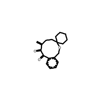 C=C1CCC2(CCCCC2)OCc2ccccc2C(=O)C1=O